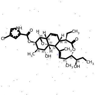 CC[C@@H](O)[C@H]1OC(=O)[C@H](CC)[C@H]2C=C[C@H]3[C@H]4O[C@]2(/C(C)=C/[C@H]1C)[C@@H]3[C@H](O)[C@@H](C)[C@H]4OC(=O)c1cc(Cl)c[nH]1